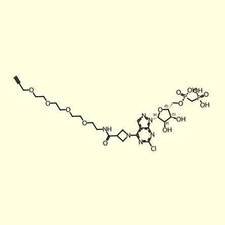 C#CCOCCOCCOCCOCCNC(=O)C1CN(c2nc(Cl)nc3c2cnn3[C@@H]2O[C@H](COP(=O)(O)CP(=O)(O)O)[C@@H](O)[C@H]2O)C1